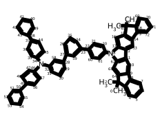 CC1(C)c2ccccc2-c2cc3c4cc5c(cc4n(-c4ccc(-c6cccc(-c7cccc(N(c8ccc(-c9ccccc9)cc8)c8ccc(-c9ccccc9)cc8)c7)c6)cc4)c3cc21)C(C)(C)c1ccccc1-5